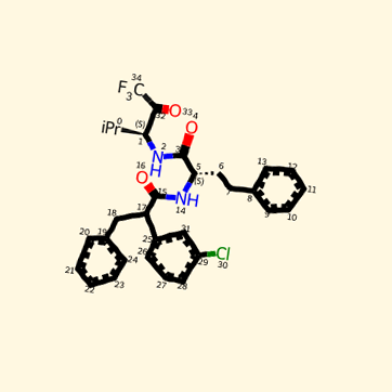 CC(C)[C@H](NC(=O)[C@H](CCc1ccccc1)NC(=O)C(Cc1ccccc1)c1cccc(Cl)c1)C(=O)C(F)(F)F